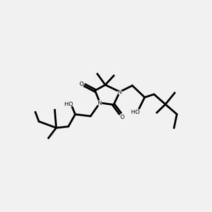 CCC(C)(C)CC(O)CN1C(=O)N(CC(O)CC(C)(C)CC)C(C)(C)C1=O